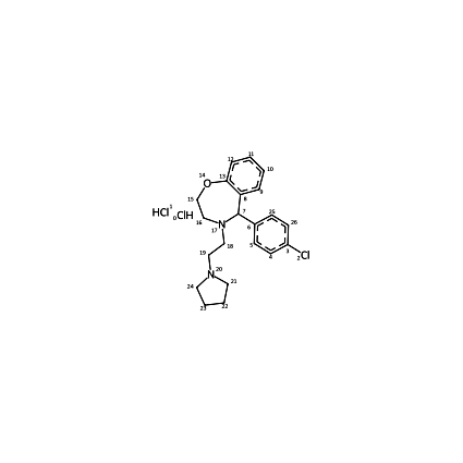 Cl.Cl.Clc1ccc(C2c3ccccc3OCCN2CCN2CCCC2)cc1